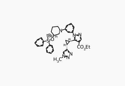 CCOC(=O)c1cnn(-c2cccc(N3CCC[C@@H](O[Si](c4ccccc4)(c4ccccc4)C(C)(C)C)C3)c2)c1[C@@H]1C[C@H]1c1cn(C)nn1